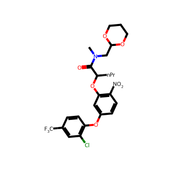 CCCC(Oc1cc(Oc2ccc(C(F)(F)F)cc2Cl)ccc1[N+](=O)[O-])C(=O)N(C)CC1OCCCO1